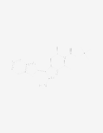 CC1Cc2c(sc(N)c2-c2nc3cnccc3s2)C(C)N1C(=O)OC(C)(C)C